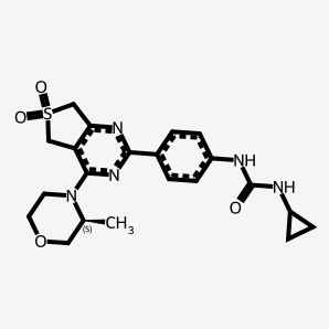 C[C@H]1COCCN1c1nc(-c2ccc(NC(=O)NC3CC3)cc2)nc2c1CS(=O)(=O)C2